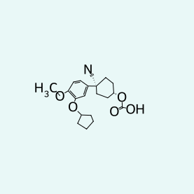 COc1ccc([C@]2(C#N)CC[C@@H](OC(=O)O)CC2)cc1OC1CCCC1